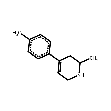 Cc1ccc(C2=CCNC(C)C2)cc1